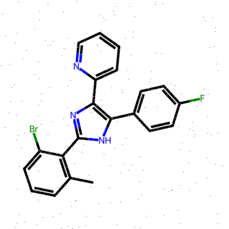 Cc1cccc(Br)c1-c1nc(-c2ccccn2)c(-c2ccc(F)cc2)[nH]1